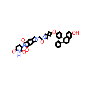 O=C1CCC(N2C(=O)c3cc4c(cc3C2=O)CN(CC(=O)N2CC3(CC(Oc5ccc([C@@H]6c7ccc(O)cc7CC[C@H]6c6ccccc6)cc5)C3)C2)C4)C(=O)N1